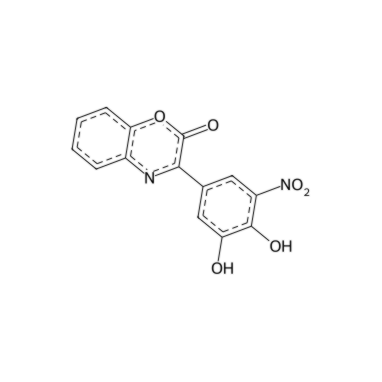 O=c1oc2ccccc2nc1-c1cc(O)c(O)c([N+](=O)[O-])c1